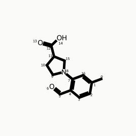 Cc1ccc(C=O)c(N2CCC(C(=O)O)C2)c1